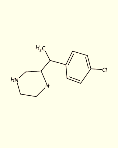 CC(c1ccc(Cl)cc1)C1CNCC[N]1